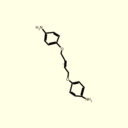 Nc1ccc(OC/C=C/COc2ccc(N)cc2)cc1